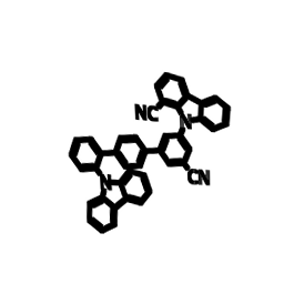 N#Cc1cc(-c2ccc(-c3ccccc3-n3c4ccccc4c4ccccc43)cc2)cc(-n2c3ccccc3c3cccc(C#N)c32)c1